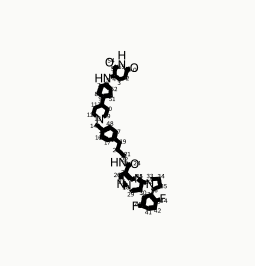 O=C1CCC(Nc2ccc(C3CCN(Cc4ccc(CCCNC(=O)c5cnn6ccc(N7CCC[C@@H]7c7cc(F)ccc7F)nc56)cc4)CC3)cc2)C(=O)N1